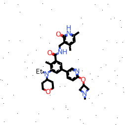 CCN(c1cc(-c2ccc(OC3CN(C)C3)nc2)cc(C(=O)NCc2c(C)cc(C)[nH]c2=O)c1C)C1CCOCC1